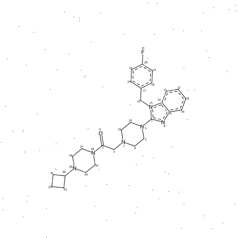 O=C(CN1CCN(c2nc3ccccc3n2Cc2ccc(F)cc2)CC1)N1CCN(C2CCC2)CC1